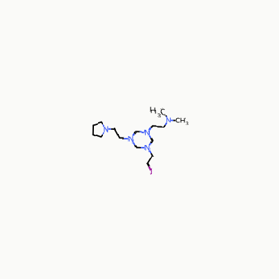 CN(C)CCN1CN(CCI)CN(CCN2CCCC2)C1